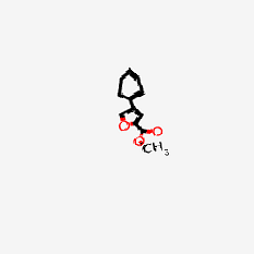 COC(=O)c1cc(C2=CC=CCC2)co1